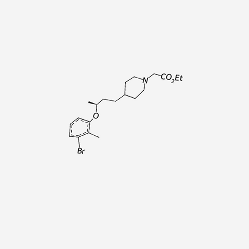 CCOC(=O)CN1CCC(CC[C@H](C)Oc2cccc(Br)c2C)CC1